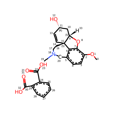 COc1ccc2c3c1O[C@H]1C[C@@H](O)C=C[C@@]31CCN(C)C2.O=C(O)c1ccccc1C(=O)O